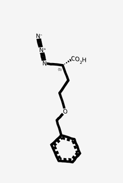 [N-]=[N+]=N[C@@H](CCOCc1ccccc1)C(=O)O